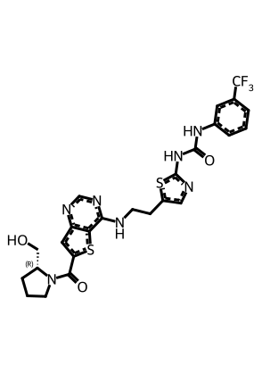 O=C(Nc1cccc(C(F)(F)F)c1)Nc1ncc(CCNc2ncnc3cc(C(=O)N4CCC[C@@H]4CO)sc23)s1